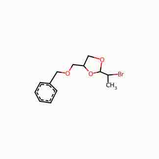 CC(Br)C1OCC(COCc2ccccc2)O1